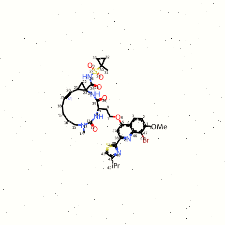 COc1ccc2c(OCCC3NC(=O)N(C)CCCC/C=C\C4CC4(C(=O)NS(=O)(=O)C4(C)CC4)NC3=O)cc(-c3nc(C(C)C)cs3)nc2c1Br